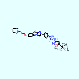 CC(C)(C)c1cc(NC(=O)Nc2ccc(-c3cn4c(n3)sc3cc(OCCCN5CCSCC5)ccc34)cc2)no1